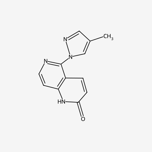 Cc1cnn(-c2nccc3[nH]c(=O)ccc23)c1